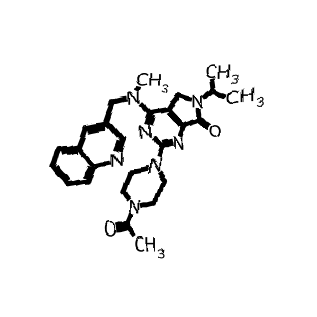 CC(=O)N1CCN(c2nc3c(c(N(C)Cc4cnc5ccccc5c4)n2)CN(C(C)C)C3=O)CC1